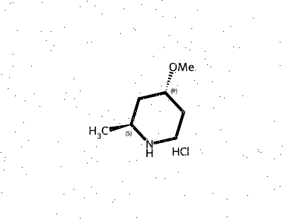 CO[C@@H]1CCN[C@@H](C)C1.Cl